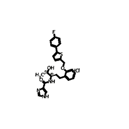 C[C@H](O)[C@@H](CCc1ccccc1OCc1ccc(-c2ccc(F)cc2)s1)NC(=O)c1c[nH]cn1.Cl